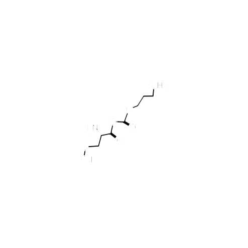 CCCCOC(=O)OC(=O)[C@@H](N)CSC